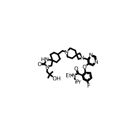 CCN(C(=O)c1cc(F)ccc1Oc1cncnc1N1CC2(CCN(CC3CCC4(CC3)CN(CC(C)(C)O)C(=O)N4)CC2)C1)C(C)C